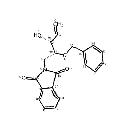 C=C[C@@H](O)[C@@H](CN1C(=O)c2ccccc2C1=O)OCc1ccccc1